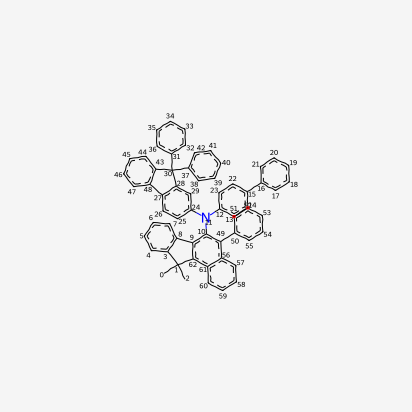 CC1(C)c2ccccc2-c2c(N(c3ccc(-c4ccccc4)cc3)c3ccc4c(c3)C(c3ccccc3)(c3ccccc3)c3ccccc3-4)c(-c3ccccc3)c3ccccc3c21